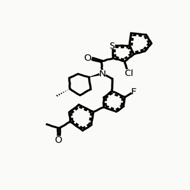 CC(=O)c1ccc(-c2ccc(F)c(CN(C(=O)c3sc4ccccc4c3Cl)[C@H]3CC[C@H](C)CC3)c2)cc1